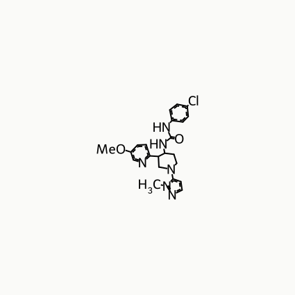 COc1ccc(C2CN(c3ccnn3C)CCC2NC(=O)Nc2ccc(Cl)cc2)nc1